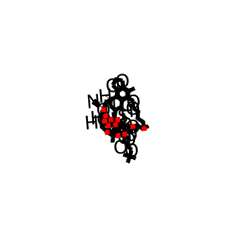 CCCCOOc1c(C)c2c(c3c1[C@H]1SC[C@]4(NCCc5cc(OC(=O)OC(C)(C)C)c(OC)cc54)C(=O)OC[C@@H]3N3C1[C@@H]1c4c(cc(C)c(OC)c4OC(=O)CCC)C[C@@H]([C@@H]3C#N)N1C)OCO2